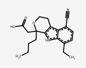 CCCCC1(CC(=O)O)OCCc2c1[nH]c1c(CC)ccc(C#N)c21